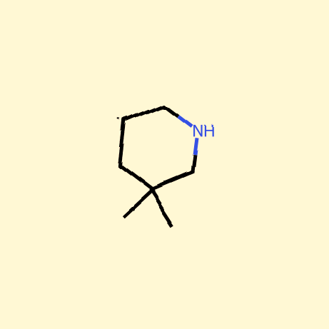 CC1(C)C[CH]CNC1